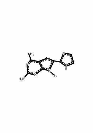 CCn1c(-c2ncc[nH]2)nc2c(N)nc(N)nc21